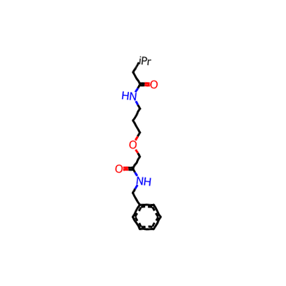 CC(C)CC(=O)NCCCOCC(=O)NCc1ccccc1